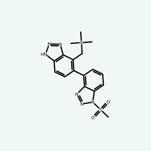 C[Si](C)(C)Cc1c(-c2cccc3c2nnn3S(C)(=O)=O)ccc2[nH]nnc12